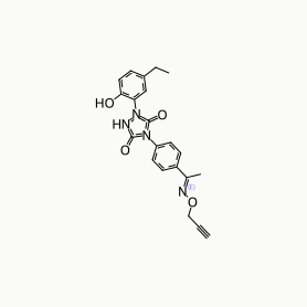 C#CCO/N=C(\C)c1ccc(-n2c(=O)[nH]n(-c3cc(CC)ccc3O)c2=O)cc1